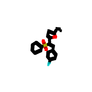 O=[N+]([O-])c1ccc(/C(=C/c2ccc(F)cc2)S(=O)(=O)c2ccccc2)o1